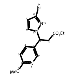 CCOC(=O)CC(c1ccc(OC)nc1)n1ccc(Br)n1